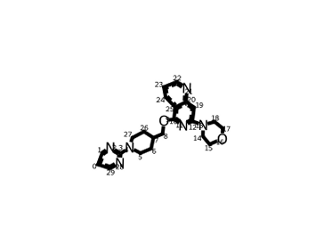 c1cnc(N2CCC(COc3nc(N4CCOCC4)cc4ncccc34)CC2)nc1